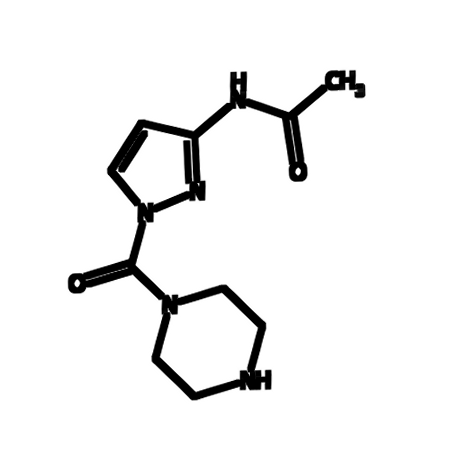 CC(=O)Nc1ccn(C(=O)N2CCNCC2)n1